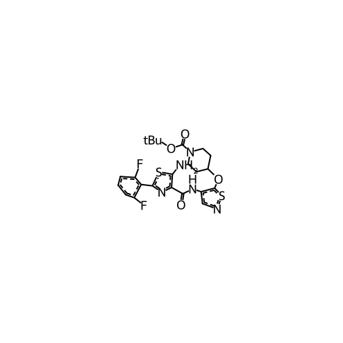 CC(C)(C)OC(=O)N1CCC(Oc2sncc2NC(=O)c2nc(-c3c(F)cccc3F)sc2N)CC1